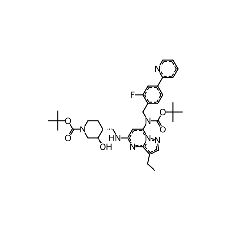 CCc1cnn2c(N(Cc3ccc(-c4ccccn4)cc3F)C(=O)OC(C)(C)C)cc(NC[C@H]3CCN(C(=O)OC(C)(C)C)C[C@@H]3O)nc12